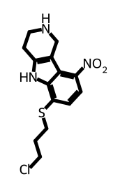 O=[N+]([O-])c1ccc(SCCCCl)c2[nH]c3c(c12)CNCC3